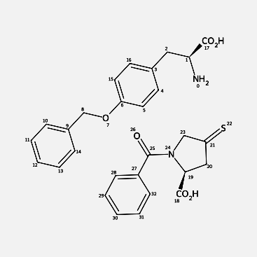 N[C@@H](Cc1ccc(OCc2ccccc2)cc1)C(=O)O.O=C(O)[C@@H]1CC(=S)CN1C(=O)c1ccccc1